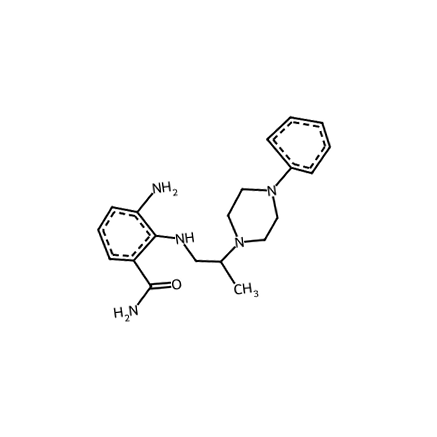 CC(CNc1c(N)cccc1C(N)=O)N1CCN(c2ccccc2)CC1